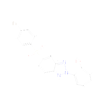 O=S(=O)(c1ccc(Br)cc1)c1ccc2nn(-c3ccccc3O)nc2c1